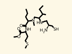 CCCC(C(=O)NC(CCSC)C(=O)OC)N(C)CC(NC[C@H](N)CS)C(C)CC